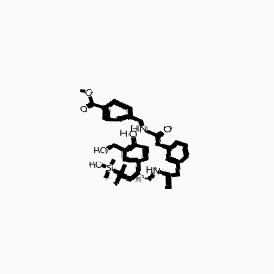 C=C(Cc1cccc(CC(=O)NCc2ccc(C(=O)OC)cc2)c1)NC[C@H](CC(C)(C)[Si](C)(C)O)c1ccc(O)c(CO)c1